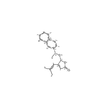 CC(C)=CC1=CC(=O)OC1OC(C)c1ccc2ccccc2c1